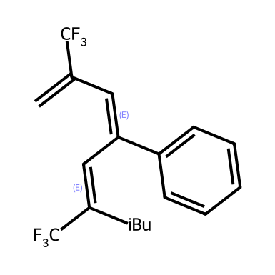 C=C(/C=C(\C=C(/C(C)CC)C(F)(F)F)c1ccccc1)C(F)(F)F